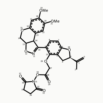 C=C(C)[C@H]1Cc2c(ccc(C3=NOC4COc5cc(OC)c(OC)cc5C34)c2OCC(=O)ON2C(=O)CCC2=O)O1